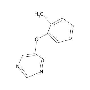 Cc1ccccc1Oc1cncnc1